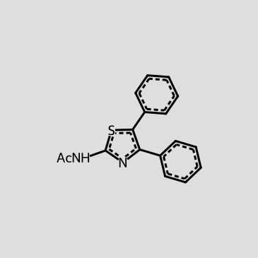 CC(=O)Nc1nc(-c2ccccc2)c(-c2ccccc2)s1